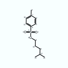 Cc1ccc(S(=O)(=O)OC[CH]CC(C)C)cc1